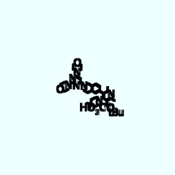 Cc1nc(C)c([C@H](OC(C)(C)C)C(=O)O)c(N2CCC(C)(C)CC2)c1-c1ccc2c(c1)CCN(c1cc(N3CCOCC3)nc(N3CCOCC3)n1)C2